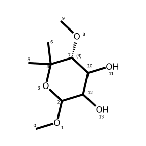 COC1OC(C)(C)[C@H](OC)C(O)C1O